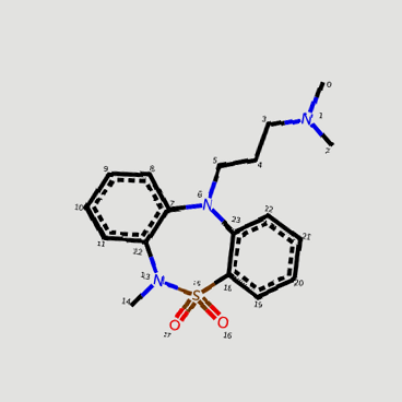 CN(C)CCCN1c2ccccc2N(C)S(=O)(=O)c2ccccc21